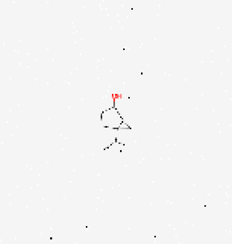 CC(C)C12CCC(O)C1C2